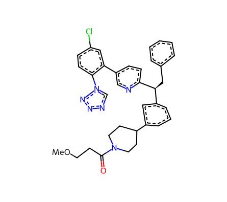 COCCC(=O)N1CCC(c2cccc([C@H](Cc3ccccc3)c3ccc(-c4cc(Cl)ccc4-n4cnnn4)cn3)c2)CC1